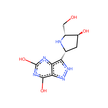 OC[C@H]1N[C@@H](c2[nH]nc3c(O)nc(O)nc23)C[C@@H]1O